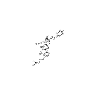 CC(C)CC(NC(=O)[C@H](CC(C)C)NC(=O)OCc1ccccc1)C(=O)c1nnc(SCCN(C)C)o1